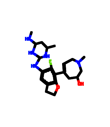 CNC1CC(C)NC(Nc2cc3c(c(C4=CCN(C)CC(O)C4)c2F)OCC3)N1